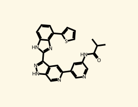 CC(C)C(=O)Nc1cncc(-c2cc3c(-c4nc5c(-c6cccs6)cccc5[nH]4)n[nH]c3cn2)c1